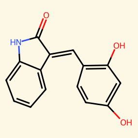 O=C1Nc2ccccc2/C1=C\c1ccc(O)cc1O